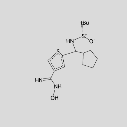 CC(C)(C)[S@+]([O-])NC(c1cc(C(=N)NO)cs1)C1CCCC1